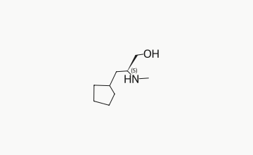 CN[C@H](CO)CC1CCCC1